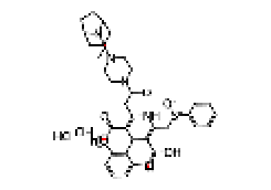 CCN1C2CCC1CC(N1CCN(C(=O)CC3=C(C(=O)O)C(c4c(Cl)cccc4Cl)C(C(=O)O)=C(C[S+]([O-])c4ccccc4)N3)CC1)C2.Cl.Cl